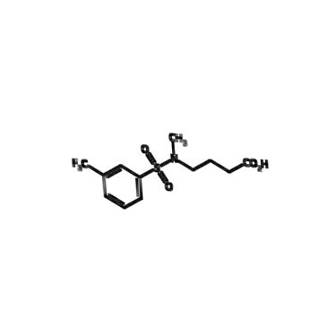 CN(CCCC(=O)O)S(=O)(=O)c1cccc(C(F)(F)F)c1